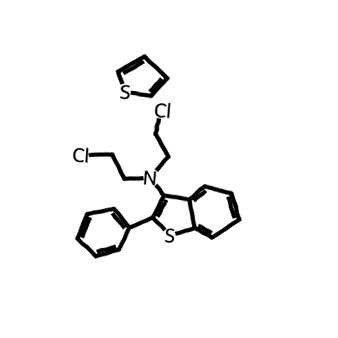 ClCCN(CCCl)c1c(-c2ccccc2)sc2ccccc12.c1ccsc1